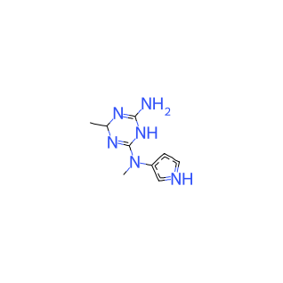 CC1N=C(N)NC(N(C)c2cc[nH]c2)=N1